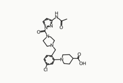 CC(=O)Nc1ccn(C(=O)N2CCN(Cc3ccc(Cl)cc3N3CCC(C(=O)O)CC3)CC2)n1